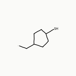 [CH2]CC1CCC(S)CC1